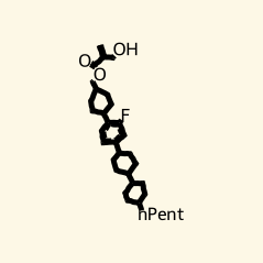 C=C(CO)C(=O)OCC1CCC(c2ccc(C3CCC(C4CCC(CCCCC)CC4)CC3)cc2F)CC1